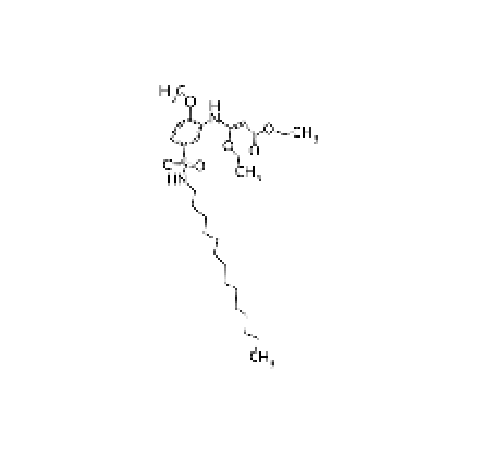 CCCCCCCCCCCCCCNS(=O)(=O)c1ccc(OC)c(NC(=CC(=O)OCC)OCC)c1